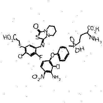 CP(=O)(O)CCC(N)C(=O)O.Nc1c([N+](=O)[O-])ccc(Oc2ccccc2)c1Cl.O=C(O)CSc1cc(N=c2sc(=O)n3n2CCCC3)c(F)cc1Cl